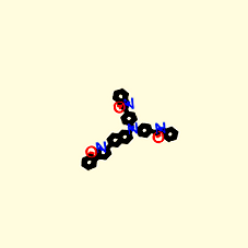 c1ccc2oc(-c3ccc(N(c4ccc(-c5nc6ccccc6o5)cc4)c4ccc5cc(-c6ccc7c(n6)oc6ccccc67)ccc5c4)cc3)nc2c1